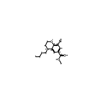 CCCCN1CCOc2c(Br)cc(C(=O)OC)cc21